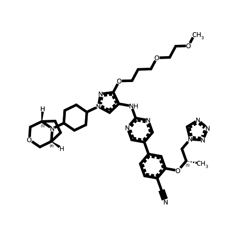 COCCOCCCOc1nn(C2CCC(N3[C@@H]4CC[C@H]3COC4)CC2)cc1Nc1ncc(-c2ccc(C#N)c(O[C@@H](C)Cn3cnnn3)c2)cn1